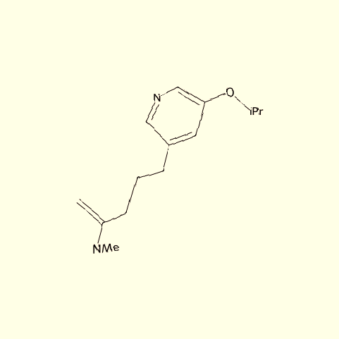 C=C(CCCc1cncc(OC(C)C)c1)NC